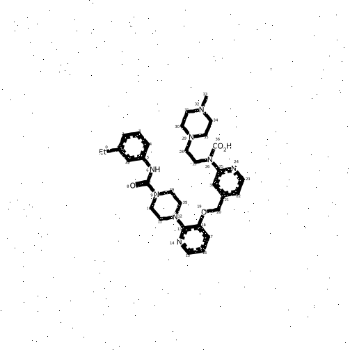 CCc1cccc(NC(=O)N2CCN(c3ncccc3OCc3ccnc(N(CCN4CCN(C)CC4)C(=O)O)c3)CC2)c1